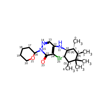 C[C@@H]1[C@@H](C)C(C)(C)[C@@H](C)C[C@H]1Nc1cnn(C2CCCCO2)c(=O)c1Br